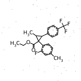 CCOC(=O)C1(c2ccc(C)cc2F)C(C)C1c1ccc(C(F)(F)F)cc1